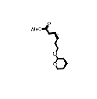 COC(=O)C/C=C\CCOC1CCCCO1